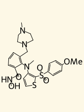 COc1ccc(S(=O)(=O)c2sccc2N(C)c2c(CN3CCN(C)CC3)cccc2C(=O)NO)cc1